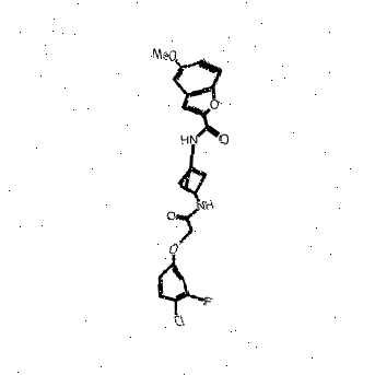 COc1ccc2oc(C(=O)NC34CC(NC(=O)COc5ccc(Cl)c(F)c5)(C3)C4)cc2c1